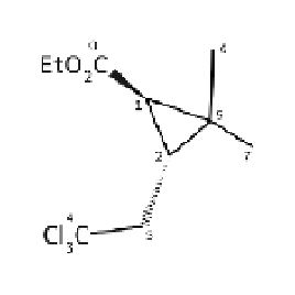 CCOC(=O)[C@@H]1[C@@H](CC(Cl)(Cl)Cl)C1(C)C